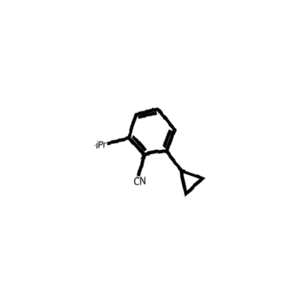 C[C](C)c1cccc(C2CC2)c1C#N